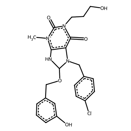 Cn1c2c(c(=O)n(CCCO)c1=O)N(Cc1ccc(Cl)cc1)C(OCc1cccc(O)c1)N2